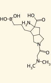 CN(C)CC(=O)N1CC2CC(N)(C(=O)O)C(CCCB(O)O)C2C1